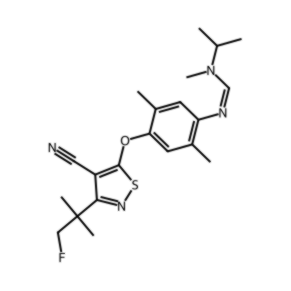 Cc1cc(Oc2snc(C(C)(C)CF)c2C#N)c(C)cc1/N=C\N(C)C(C)C